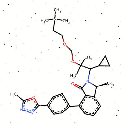 Cc1nnc(-c2ccc(-c3cccc4c3C(=O)N(C(C3CC3)C(C)(C)OCOCC[Si](C)(C)C)[C@H]4C)cc2)o1